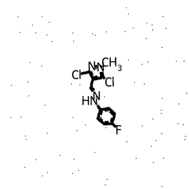 Cn1nc(Cl)c(C=NNc2ccc(F)cc2)c1Cl